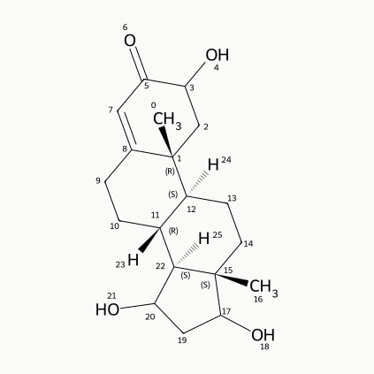 C[C@]12CC(O)C(=O)C=C1CC[C@@H]1[C@@H]2CC[C@]2(C)C(O)CC(O)[C@@H]12